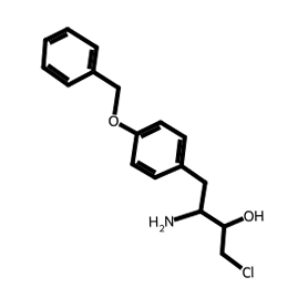 NC(Cc1ccc(OCc2ccccc2)cc1)C(O)CCl